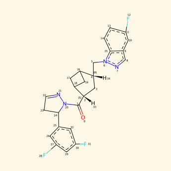 O=C([C@H]1C[C@@H](Cn2ncc3cc(F)ccc32)C2CC1C2)N1N=CCC1c1cc(F)cc(F)c1